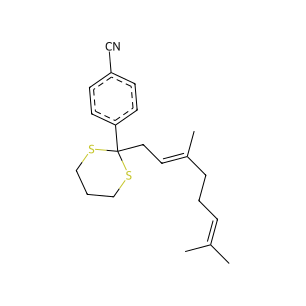 CC(C)=CCC/C(C)=C/CC1(c2ccc(C#N)cc2)SCCCS1